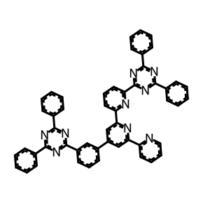 c1ccc(-c2nc(-c3ccccc3)nc(-c3cccc(-c4cc(-c5ccccn5)nc(-c5cccc(-c6nc(-c7ccccc7)nc(-c7ccccc7)n6)n5)c4)c3)n2)cc1